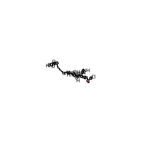 CN(CCCCCCCC#Cc1cccc2c1CN(C1CCC(=O)NC1=O)C2=O)CCCN1CCC(CNc2ccc(S(=O)(=O)NC(=O)c3ccc(N4CCN(CC5=C(c6ccc(Cl)cc6)CC(C)(C)CC5)CC4)cc3Oc3cnc4[nH]ccc4c3)cc2NO)CC1